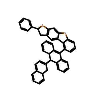 C1=CC2=CC=C(C3c4ccccc4C(c4cccc5sc6cc7c(cc6c45)CC(c4ccccc4)S7)=C4C=CC=CC43)CC2C=C1